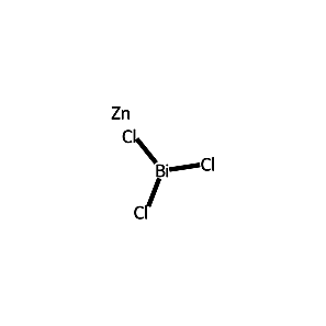 [Cl][Bi]([Cl])[Cl].[Zn]